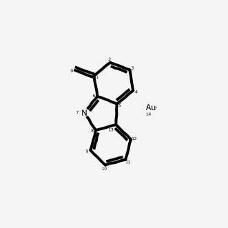 C=c1cccc2c1=Nc1ccccc1-2.[Au]